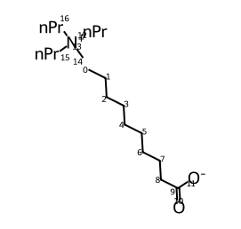 CCCCCCCCCC(=O)[O-].CCC[N+](C)(CCC)CCC